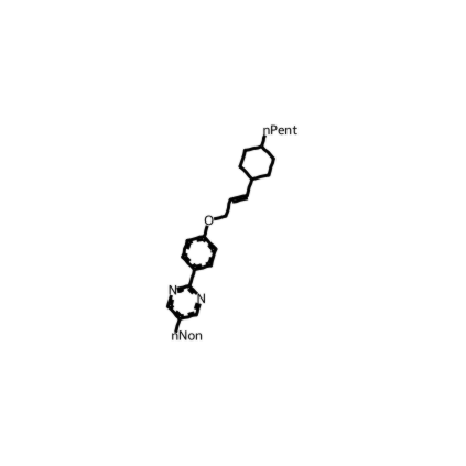 CCCCCCCCCc1cnc(-c2ccc(OCC=CC3CCC(CCCCC)CC3)cc2)nc1